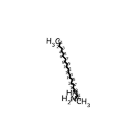 CCCCCCCCCCCCCCCCCCCCNCC(C)N